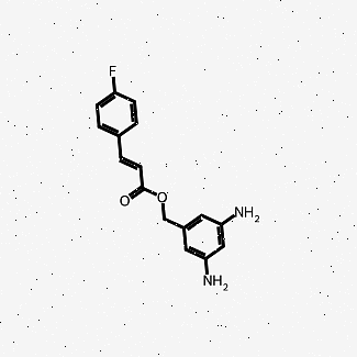 Nc1cc(N)cc(COC(=O)C=Cc2ccc(F)cc2)c1